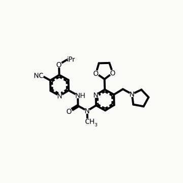 CC(C)Oc1cc(NC(=O)N(C)c2ccc(CN3CCCC3)c(C3OCCO3)n2)ncc1C#N